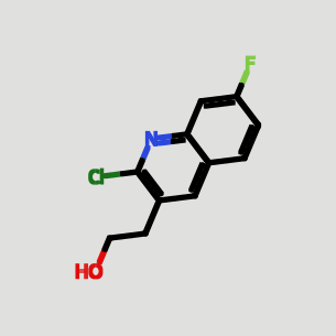 OCCc1cc2ccc(F)cc2nc1Cl